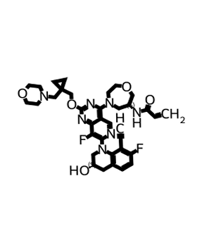 C#Cc1c(F)ccc2c1N(c1ncc3c(N4CCOC[C@@H](NC(=O)C=C)C4)nc(OCC4(CN5CCOCC5)CC4)nc3c1F)C[C@@H](O)C2